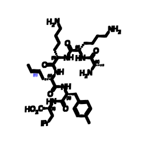 C/C=C/C[C@H](NC(=O)[C@H](CCCCN)NC(=O)[C@H](CCCCN)NC(=O)[C@H](C)N)C(=O)N[C@@H](Cc1ccc(C)cc1)C(=O)N[C@@H](CC(C)C)C(=O)O